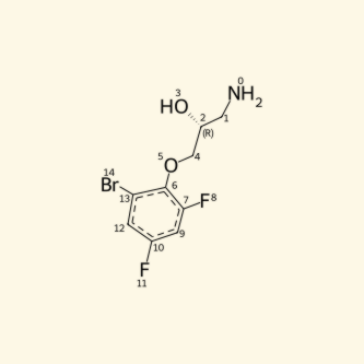 NC[C@@H](O)COc1c(F)cc(F)cc1Br